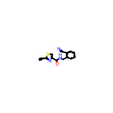 C#Cc1nc(C(=O)NCc2ccccc2C#N)cs1